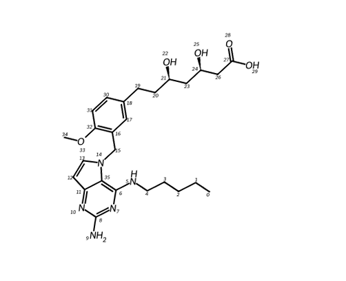 CCCCCNc1nc(N)nc2ccn(Cc3cc(CC[C@@H](O)C[C@@H](O)CC(=O)O)ccc3OC)c12